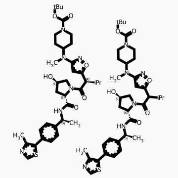 Cc1ncsc1-c1ccc([C@H](C)NC(=O)[C@@H]2C[C@@H](O)CN2C(=O)C(c2cc(N(C)C3CCN(C(=O)OC(C)(C)C)CC3)no2)C(C)C)cc1.Cc1ncsc1-c1ccc([C@H](C)NC(=O)[C@@H]2C[C@@H](O)CN2C(=O)[C@@H](c2cc(N(C)C3CCN(C(=O)OC(C)(C)C)CC3)no2)C(C)C)cc1